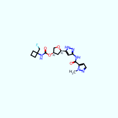 Cn1nccc1C(=O)Nc1cc([C@H]2C[C@@H](OC(=O)NC3(CF)CCC3)CO2)[nH]n1